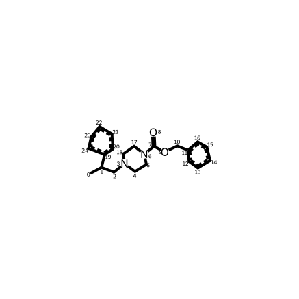 CC(CN1CCN(C(=O)OCc2ccccc2)CC1)c1ccccc1